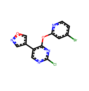 Clc1ncc(-c2cnoc2)c(Oc2cc(Br)ccn2)n1